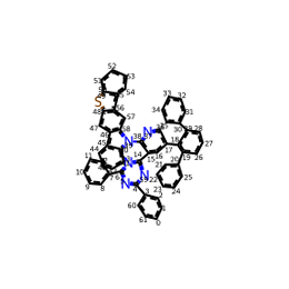 c1ccc(-c2nc(-c3ccccc3)nc(-c3cc(-c4c(-c5ccccc5)cccc4-c4ccccc4)cnc3-n3c4ccccc4c4cc5sc6ccccc6c5cc43)n2)cc1